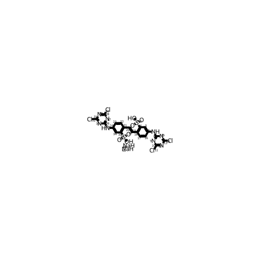 O=S(=O)(O)c1cc(Nc2nc(Cl)nc(Cl)n2)ccc1C=Cc1ccc(Nc2nc(Cl)nc(Cl)n2)cc1S(=O)(=O)O.[NaH].[NaH]